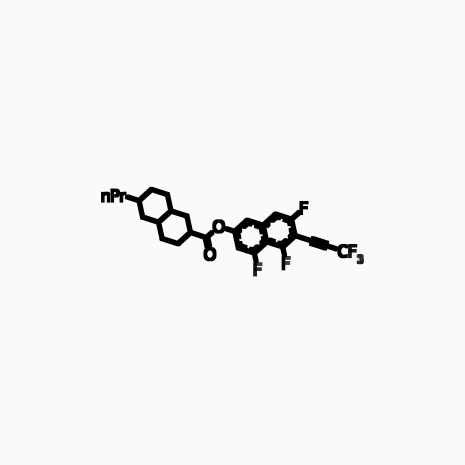 CCCC1CCC2CC(C(=O)Oc3cc(F)c4c(F)c(C#CC(F)(F)F)c(F)cc4c3)CCC2C1